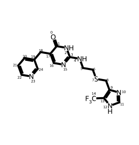 O=c1[nH]c(NCCSCc2nc[nH]c2C(F)(F)F)ncc1Cc1cccnc1